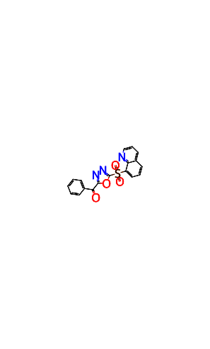 O=C(c1ccccc1)c1nnc(S(=O)(=O)c2cccc3cccnc23)o1